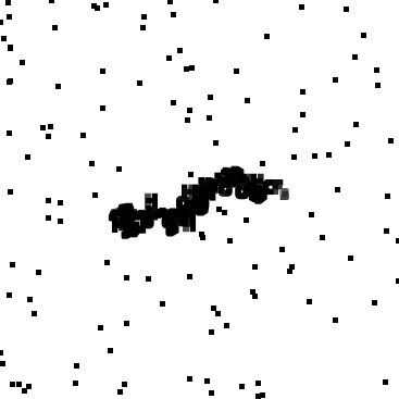 C=CC(=O)NC(CCCCNC(=O)CCC1=[N+](B(F)n2cc(C)cc2C)/C(=C\C)C=C1)C(=O)Nc1cccc(Nc2ncc(NC(=O)c3cc(NC(=O)c4cccc(C(F)(F)F)c4)ccc3C)cn2)c1